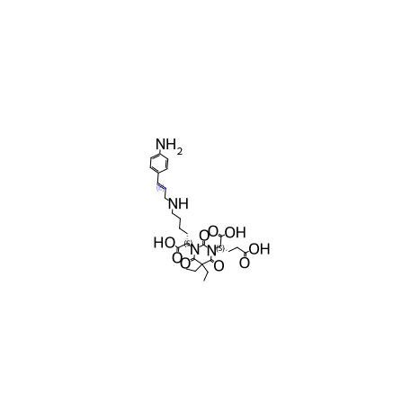 CCC1(CC)C(=O)N([C@@H](CCCCNC/C=C/c2ccc(N)cc2)C(=O)O)C(=O)N([C@@H](CCC(=O)O)C(=O)O)C1=O